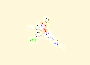 Cc1ccccc1C1(OC(=O)N2CCN(C3CCN(C)CC3)CC2)C(=O)N(S(=O)(=O)c2cccs2)c2ccc(C#N)cc21.Cl.Cl